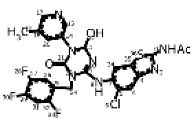 CC(=O)Nc1nc2cc(Cl)c(NC3=NC(O)N(c4cncc(C)c4)C(=O)N3Cc3cc(F)c(F)cc3F)cc2s1